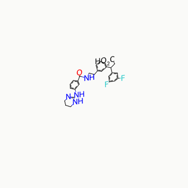 O=C(O)CC(c1cc(F)cc(F)c1)c1cccc(CCNC(=O)c2cccc(NC3=NCCCN3)c2)c1